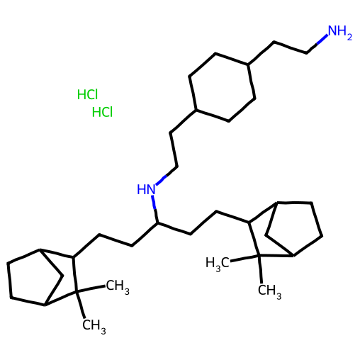 CC1(C)C2CCC(C2)C1CCC(CCC1C2CCC(C2)C1(C)C)NCCC1CCC(CCN)CC1.Cl.Cl